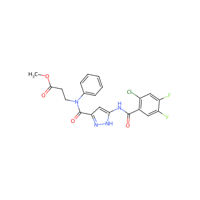 COC(=O)CCN(C(=O)c1cc(NC(=O)c2cc(F)c(F)cc2Cl)[nH]n1)c1ccccc1